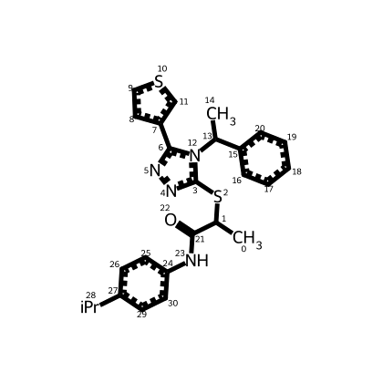 CC(Sc1nnc(-c2ccsc2)n1C(C)c1ccccc1)C(=O)Nc1ccc(C(C)C)cc1